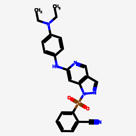 CCN(CC)c1ccc(Nc2cc3c(cn2)cnn3S(=O)(=O)c2ccccc2C#N)cc1